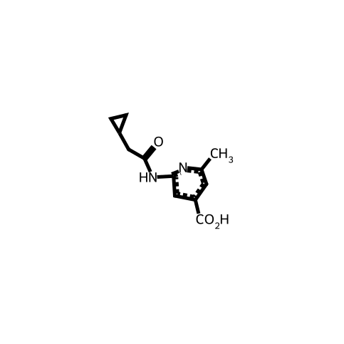 Cc1cc(C(=O)O)cc(NC(=O)CC2CC2)n1